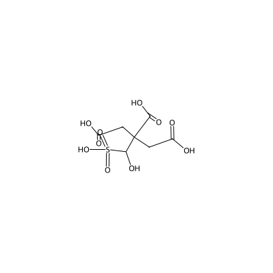 O=C(O)CC(CC(=O)O)(C(=O)O)C(O)S(=O)(=O)O